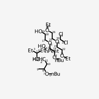 CCC(O)CC.CCCCCO.CCCCOC(C)CC(=O)O.CCCCOCCOCCO.CCOCCOCCOCC.ClCCl